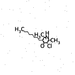 CCCCCCCCc1c(C)[nH]c(C)c(Cl)c1=O